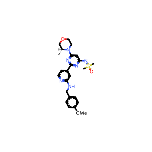 COc1ccc(CNc2cc(-c3nc(N=S(C)(C)=O)cc(N4CCOC[C@H]4C)n3)ccn2)cc1